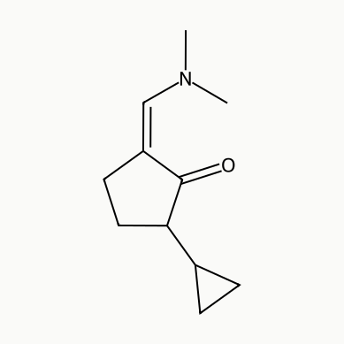 CN(C)C=C1CCC(C2CC2)C1=O